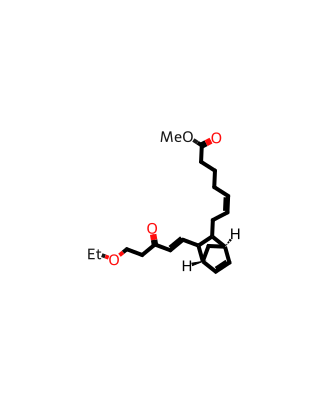 CCOCCC(=O)C=CC1C(C/C=C\CCCC(=O)OC)[C@H]2C=C[C@H]1C2